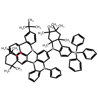 CC(C)(C)c1ccc(N2c3cc4c(cc3B3c5ccccc5N(c5ccccc5)c5cc(N6c7ccc([Si](c8ccccc8)(c8ccccc8)c8ccccc8)cc7C7(C)CC(C)(C)C(C)(C)CC67C)cc2c53)C(C)(C)CCC4(C)C)c(-c2ccccc2)c1